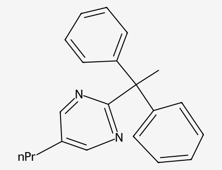 CCCc1cnc(C(C)(c2ccccc2)c2ccccc2)nc1